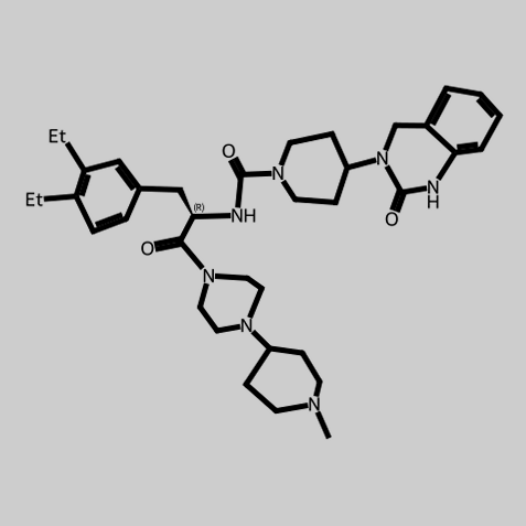 CCc1ccc(C[C@@H](NC(=O)N2CCC(N3Cc4ccccc4NC3=O)CC2)C(=O)N2CCN(C3CCN(C)CC3)CC2)cc1CC